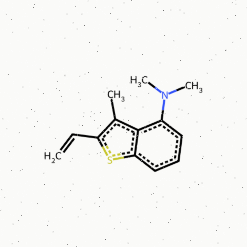 C=Cc1sc2cccc(N(C)C)c2c1C